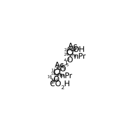 CCCc1c(OCCCOc2c(C(C)=O)ccc(OC(C)C(=O)O)c2CCC)ccc(C(C)=O)c1O